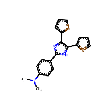 CN(C)c1ccc(-c2nc(-c3cccs3)c(-c3cccs3)[nH]2)cc1